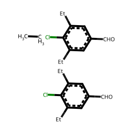 CC.CCc1cc(C=O)cc(CC)c1Cl.CCc1cc(C=O)cc(CC)c1Cl